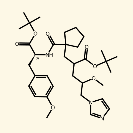 COc1ccc(C[C@H](NC(=O)C2(CC(CC(Cn3ccnc3)OC)C(=O)OC(C)(C)C)CCCC2)C(=O)OC(C)(C)C)cc1